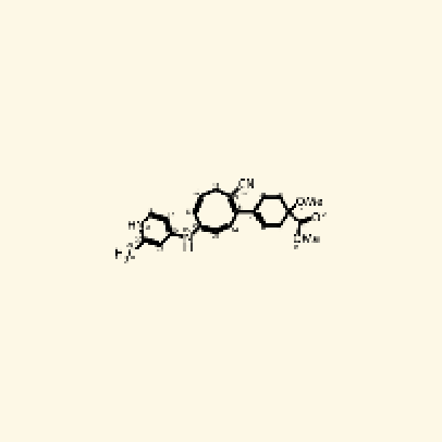 COC(=O)C1(OC)CC=C(/C2=C(\C#N)C/C=C\C(NC3=C=CNC(C)=C3)=C=C2)CC1